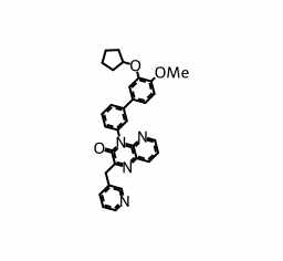 COc1ccc(-c2cccc(-n3c(=O)c(Cc4cccnc4)nc4cccnc43)c2)cc1OC1CCCC1